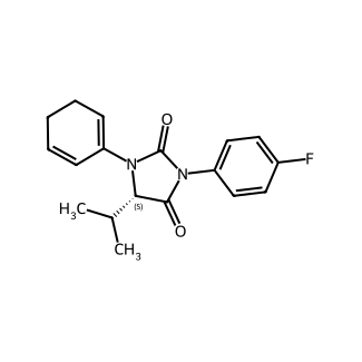 CC(C)[C@H]1C(=O)N(c2ccc(F)cc2)C(=O)N1C1=CCCC=C1